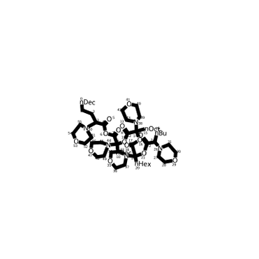 CCCCCCCCCCCCC(C(=O)OC(=O)C(CCCCCCCCCC)(OC(=O)C(CCCCCCCC)(OC(=O)C(CCCCCC)(OC(=O)C(CCCC)N1CCOCC1)N1CCOCC1)N1CCOCC1)N1CCOCC1)N1CCOCC1